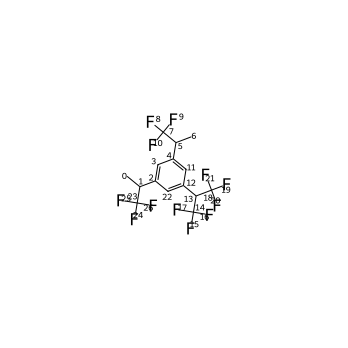 CC(c1cc(C(C)C(F)(F)F)cc(C(C(F)(F)F)C(F)(F)F)c1)C(F)(F)F